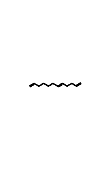 C=CCCC=CCCCCC=C